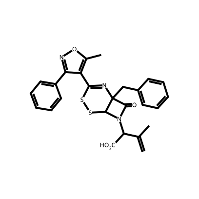 C=C(C)C(C(=O)O)N1C(=O)C2(Cc3ccccc3)N=C(c3c(-c4ccccc4)noc3C)SSC12